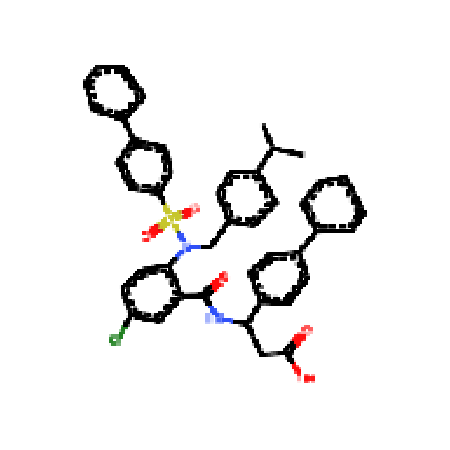 CC(C)c1ccc(CN(c2ccc(Cl)cc2C(=O)NC(CC(=O)O)c2ccc(-c3ccccc3)cc2)S(=O)(=O)c2ccc(-c3ccccc3)cc2)cc1